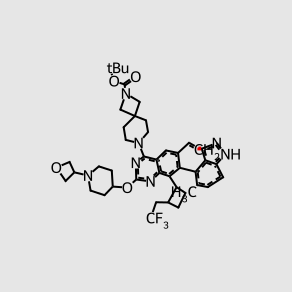 C=Cc1cc2c(N3CCC4(CC3)CN(C(=O)OC(C)(C)C)C4)nc(OC3CCN(C4COC4)CC3)nc2c(C2CCC2CC(F)(F)F)c1-c1c(C)ccc2[nH]ncc12